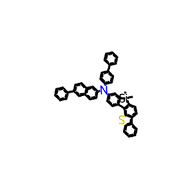 C[Si]1(C)c2cc(N(c3ccc(-c4ccccc4)cc3)c3ccc4cc(-c5ccccc5)ccc4c3)ccc2-c2c1ccc1c2sc2ccccc21